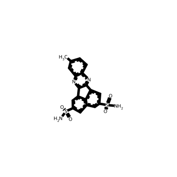 Cc1ccc2nc3c(nc2c1)-c1cc(S(N)(=O)=O)cc2cc(S(N)(=O)=O)cc-3c12